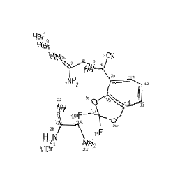 Br.Br.Br.N#CC(NCC(=N)N)c1cccc2c1OC(F)(F)O2.N=C(N)CN